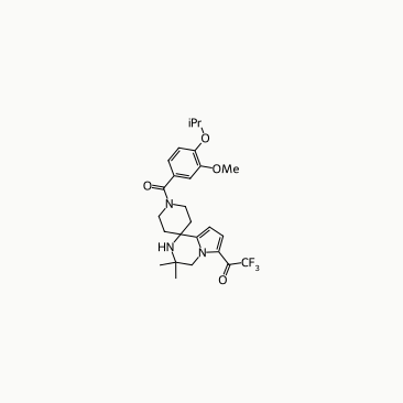 COc1cc(C(=O)N2CCC3(CC2)NC(C)(C)Cn2c(C(=O)C(F)(F)F)ccc23)ccc1OC(C)C